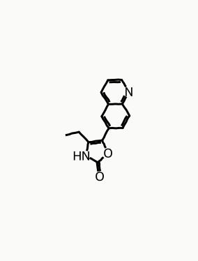 CCc1[nH]c(=O)oc1-c1ccc2ncccc2c1